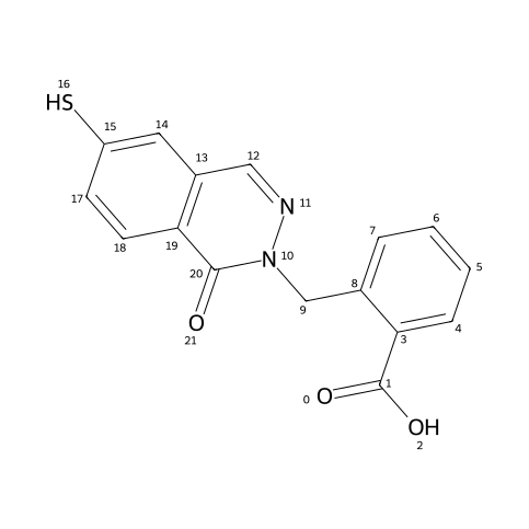 O=C(O)c1ccccc1Cn1ncc2cc(S)ccc2c1=O